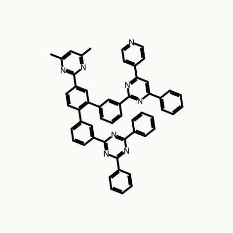 Cc1cc(C)nc(-c2ccc(-c3cccc(-c4nc(-c5ccccc5)nc(-c5ccccc5)n4)c3)c(-c3cccc(-c4nc(-c5ccccc5)cc(-c5ccncc5)n4)c3)c2)n1